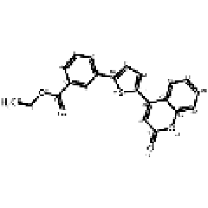 CCOC(=O)c1cccc(-c2ccc(-c3cc(=O)oc4ccccc34)s2)c1